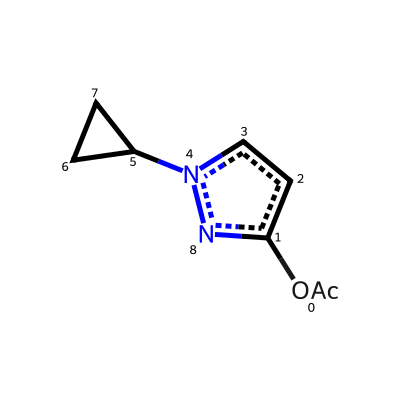 CC(=O)Oc1ccn(C2CC2)n1